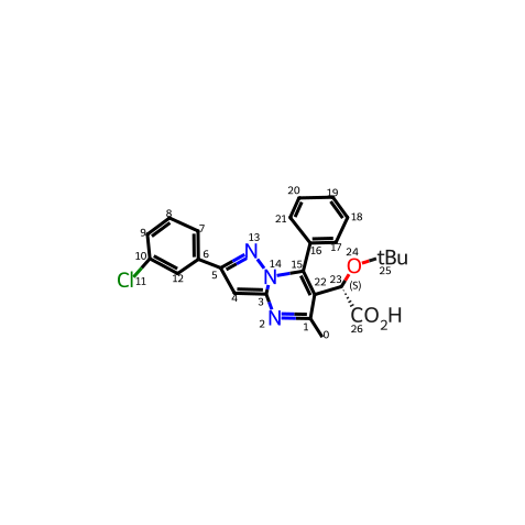 Cc1nc2cc(-c3cccc(Cl)c3)nn2c(-c2ccccc2)c1[C@H](OC(C)(C)C)C(=O)O